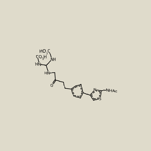 CC(=O)Nc1nc(-c2ccc(CCC(=O)CNC(NC(=O)O)NC(=O)O)cc2)cs1